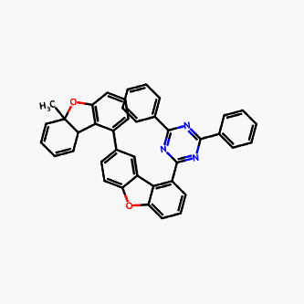 CC12C=CC=CC1c1c(cccc1-c1ccc3oc4cccc(-c5nc(-c6ccccc6)nc(-c6ccccc6)n5)c4c3c1)O2